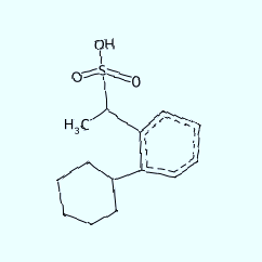 CC(c1ccccc1C1CCCCC1)S(=O)(=O)O